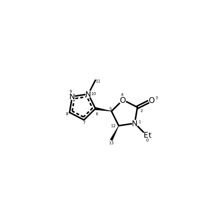 CCN1C(=O)O[C@H](c2ccnn2C)[C@@H]1C